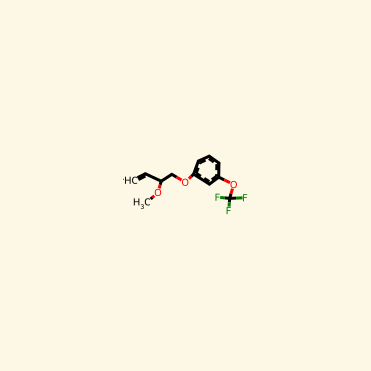 [CH]=CC(COc1cccc(OC(F)(F)F)c1)OC